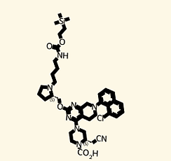 C[Si](C)(C)CCOC(=O)NCCCCN1CCC[C@H]1COc1nc2c(c(N3CCN(C(=O)O)[C@@H](CC#N)C3)n1)CCN(c1cccc3cccc(Cl)c13)C2